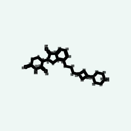 O=C1CCC(N2Cc3c(CCCN4CC(N5CCNCC5)C4)cccc3C2=O)C(=O)N1